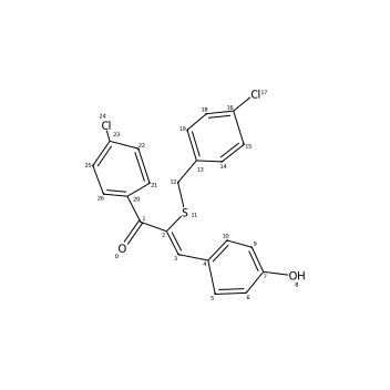 O=C(C(=Cc1ccc(O)cc1)SCc1ccc(Cl)cc1)c1ccc(Cl)cc1